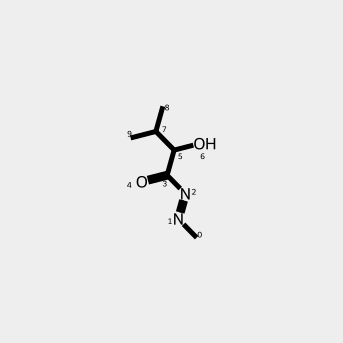 CN=NC(=O)C(O)C(C)C